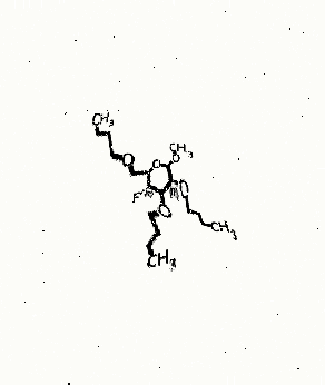 CCCCOCC1OC(OC)[C@H](OCCCC)C(OCCCC)[C@@H]1F